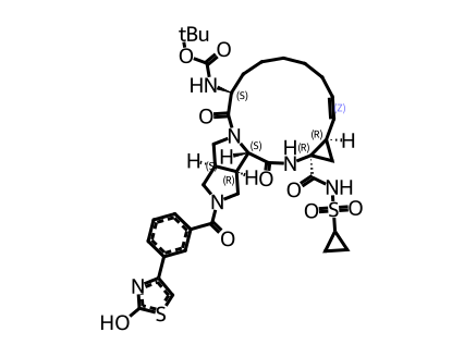 CC(C)(C)OC(=O)N[C@H]1CCCCC/C=C\[C@H]2C[C@@]2(C(=O)NS(=O)(=O)C2CC2)NC(=O)[C@@H]2[C@H]3CN(C(=O)c4cccc(-c5csc(O)n5)c4)C[C@H]3CN2C1=O